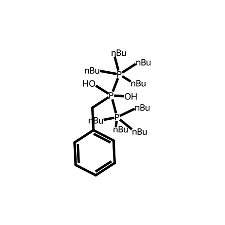 CCCCP(CCCC)(CCCC)(CCCC)P(O)(O)(Cc1ccccc1)P(CCCC)(CCCC)(CCCC)CCCC